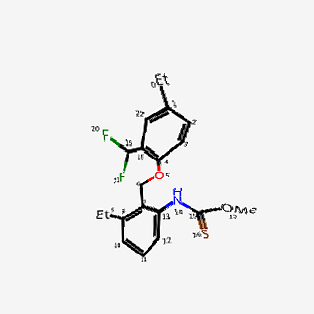 CCc1ccc(OCc2c(CC)cccc2NC(=S)OC)c(C(F)F)c1